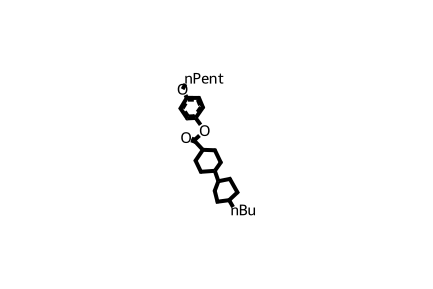 CCCCCOc1ccc(OC(=O)C2CCC(C3CCC(CCCC)CC3)CC2)cc1